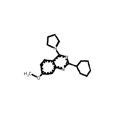 COc1ccc2c(N3CCCC3)nc(C3CCCCC3)nc2c1